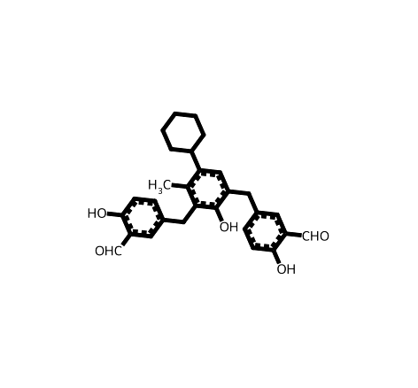 Cc1c(C2CCCCC2)cc(Cc2ccc(O)c(C=O)c2)c(O)c1Cc1ccc(O)c(C=O)c1